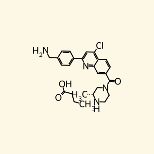 CCCC(=O)O.C[C@@H]1CN(C(=O)c2ccc3c(Cl)cc(-c4ccc(CN)cc4)nc3c2)CCN1